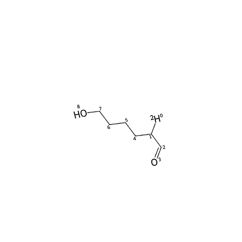 [2H]C(C=O)CCCCO